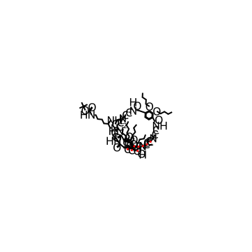 CCCCOc1c2ccc(c1OCCCC)C(=O)NCCN1CCNC(=O)c3ccc(c(OCCCC)c3OCCCC)C(=O)NCCN(CCNC2=O)CCNC(=O)c2ccc(c(OCCCC)c2OCCCC)C(=O)NCCN(CC(N)CCCCNC(=O)OC(C)(C)C)CC1